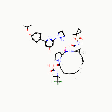 CC(C)Oc1ccc(-c2cc(O[C@@H]3C[C@H]4C(=O)N[C@]5(C(=O)NS(=O)(=O)C6(C)CC6)C[C@H]5/C=C\CC[C@H](C)C[C@@H](C)[C@H](N(C(=O)O)C(C)(C)C(F)(F)F)C(=O)N4C3)cc(-n3cccn3)n2)cc1